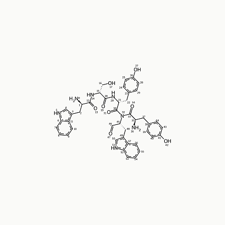 N[C@H](Cc1c[nH]c2ccccc12)C(=O)N[C@H](CO)C(=O)N[C@H](Cc1ccc(O)cc1)C(=O)N(C(=O)[C@H](N)Cc1ccc(O)cc1)[C@@H]([C]=O)Cc1c[nH]c2ccccc12